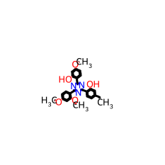 CCc1ccc(-c2nc(-c3ccc(OC)cc3O)nc(-c3ccc(OC)cc3OC)n2)c(O)c1